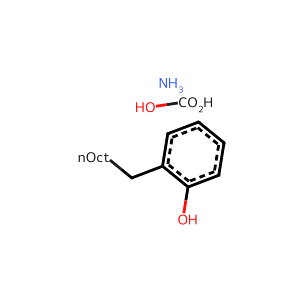 CCCCCCCCCc1ccccc1O.N.O=C(O)O